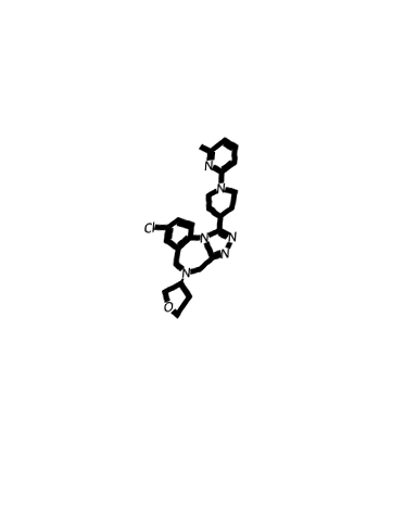 Cc1cccc(N2CCC(c3nnc4n3-c3ccc(Cl)cc3CN([C@@H]3CCOC3)C4)CC2)n1